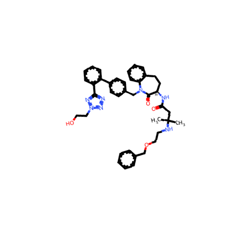 CC(C)(CC(=O)N[C@@H]1CCc2ccccc2N(Cc2ccc(-c3ccccc3-c3nnn(CCO)n3)cc2)C1=O)NCCOCc1ccccc1